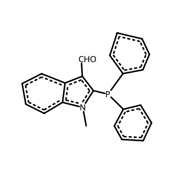 Cn1c(P(c2ccccc2)c2ccccc2)c(C=O)c2ccccc21